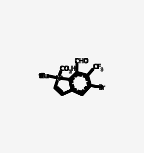 CC(C)(C)[N+]1(C(=O)O)C=Cc2cc(Br)c(C(F)(F)F)c(C=O)c21